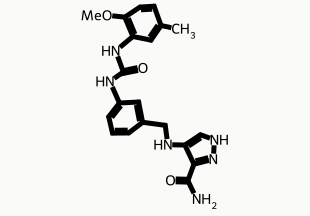 COc1ccc(C)cc1NC(=O)Nc1cccc(CNc2c[nH]nc2C(N)=O)c1